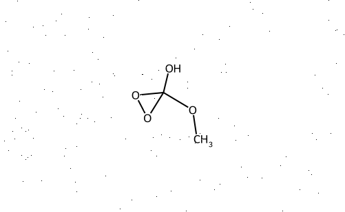 COC1(O)OO1